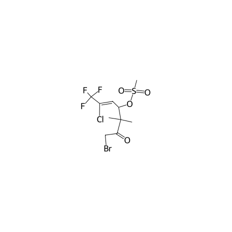 CC(C)(C(=O)CBr)C(C=C(Cl)C(F)(F)F)OS(C)(=O)=O